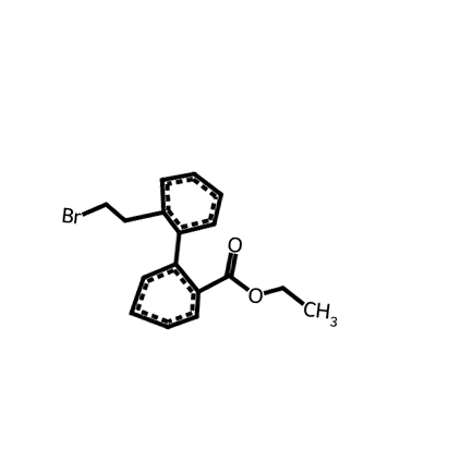 CCOC(=O)c1ccccc1-c1ccccc1CCBr